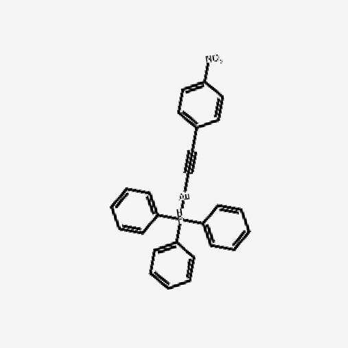 O=[N+]([O-])c1ccc(C#[C][Au][PH](c2ccccc2)(c2ccccc2)c2ccccc2)cc1